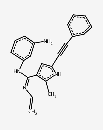 C=C/N=C(/Nc1cccc(N)c1)c1cc(C#Cc2ccccc2)[nH]c1C